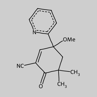 COC1(c2ccccn2)C=C(C#N)C(=O)C(C)(C)C1